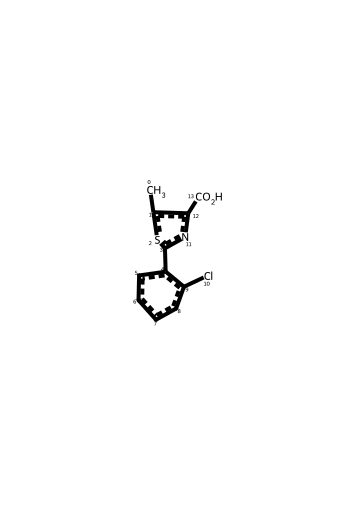 Cc1sc(-c2ccccc2Cl)nc1C(=O)O